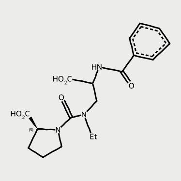 CCN(CC(NC(=O)c1ccccc1)C(=O)O)C(=O)N1CCC[C@H]1C(=O)O